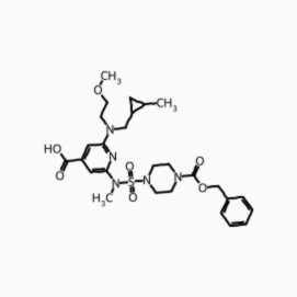 COCCN(CC1CC1C)c1cc(C(=O)O)cc(N(C)S(=O)(=O)N2CCN(C(=O)OCc3ccccc3)CC2)n1